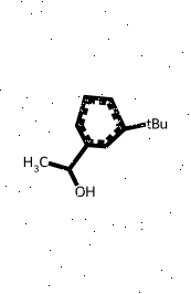 CC(O)c1cccc(C(C)(C)C)c1